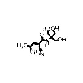 CC(C)/C=C(\C#N)C(=O)NC(CO)(CO)CO